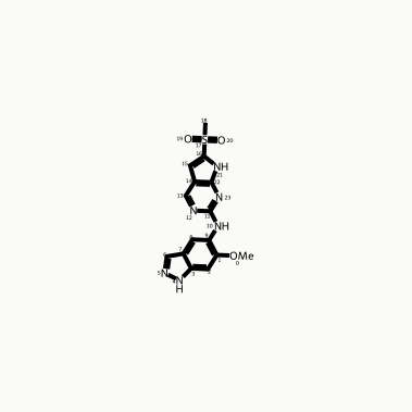 COc1cc2[nH]ncc2cc1Nc1ncc2cc(S(C)(=O)=O)[nH]c2n1